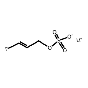 O=S(=O)([O-])OCC=CF.[Li+]